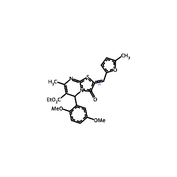 CCOC(=O)C1=C(C)N=c2s/c(=C\c3ccc(C)o3)c(=O)n2C1c1cc(OC)ccc1OC